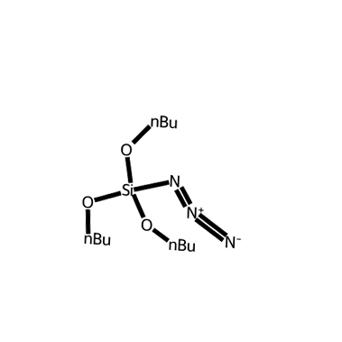 CCCCO[Si](N=[N+]=[N-])(OCCCC)OCCCC